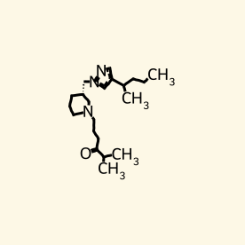 CCCC(C)c1cnn(C[C@H]2CCCN(CCCC(=O)C(C)C)C2)c1